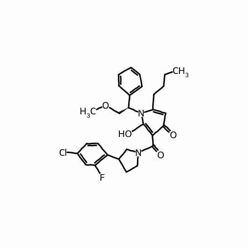 CCCCc1cc(=O)c(C(=O)N2CCC(c3ccc(Cl)cc3F)C2)c(O)n1[C@@H](COC)c1ccccc1